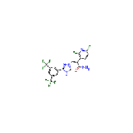 NC(=O)/C(=C\N1CNC(c2cc(C(F)(F)F)cc(C(F)(F)F)c2)=N1)c1ccc(F)nc1F